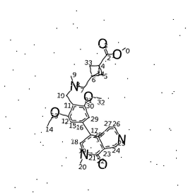 COC(=O)C12CC(CN(C)Cc3c(OC)cc(-c4cn(C)c(=O)c5cnccc45)cc3OC)(C1)C2